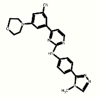 Cn1cnnc1-c1ccc(Nc2nccc(-c3cc(C#N)cc(N4CCOCC4)c3)n2)cc1